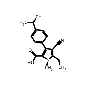 CCc1c(C#N)c(-c2ccc(C(C)C)cc2)c(C(=O)O)n1C